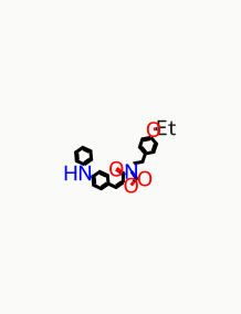 CCOc1ccc(CCN2C(=O)O/C(=C/c3ccc(Nc4ccccc4)cc3)C2=O)cc1